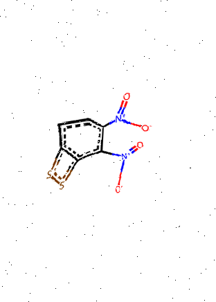 O=[N+]([O-])c1ccc2ssc2c1[N+](=O)[O-]